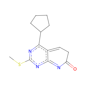 CSc1nc(C2CCCC2)c2c(n1)=NC(=O)CC=2